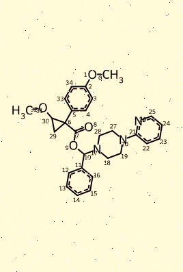 COc1ccc(C2(C(=O)OC(c3ccccc3)N3CCN(c4ccccn4)CC3)CC2OC)cc1